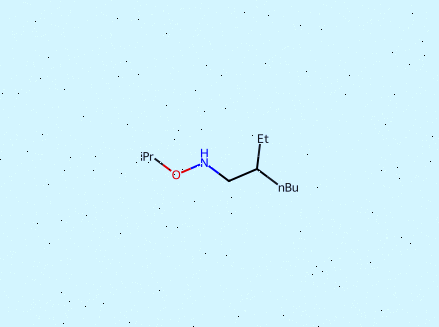 CCCCC(CC)CNOC(C)C